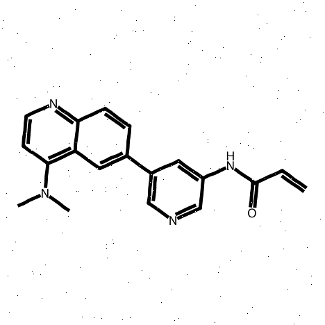 C=CC(=O)Nc1cncc(-c2ccc3nccc(N(C)C)c3c2)c1